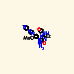 CCc1nc(C(N)=O)c(Nc2ccc(N3CCN(C4CCN(C)CC4)CC3)c(OC)c2)nc1NC1CCOCC1